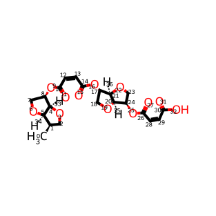 C[C@@H]1CO[C@H]2[C@@H]1OC[C@H]2OC(=O)/C=C\C(=O)O[C@@H]1CO[C@H]2[C@@H]1OC[C@H]2OC(=O)/C=C\C(=O)O